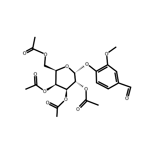 COc1cc(C=O)ccc1O[C@H]1O[C@H](COC(C)=O)[C@H](OC(C)=O)[C@H](OC(C)=O)[C@H]1OC(C)=O